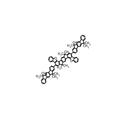 CC1(C)c2ccccc2-c2cc3c(cc21)-c1ccc(-c2cc4c(c5oc6ccccc6c25)-c2cc5c(cc2C4(C)C)-c2c(cc(-c4ccc6c(c4)C(C)(C)c4cc7c(cc4-6)C(C)(C)c4ccccc4-7)c4c2oc2ccccc24)C5(C)C)cc1C3(C)C